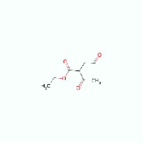 CCOC(=O)C(CC=O)C(C)=O